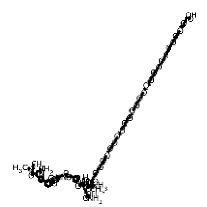 CCCN(CCC)C(=O)C1=Cc2ccc(-c3cccc(S(=O)(=O)N4CC(CNC(=O)OCc5ccc(NC(=O)[C@H](CCCNC(N)=O)NC(=O)[C@@H](NC(=O)CCOCCOCCOCCOCCOCCOCCOCCOCCOCCOCCOCCOCCOCCOCCOCCOCCOCCOCCOCCOCCOCCOCCOCCOCCOCCC(=O)O)C(C)C)cc5)C4)c3)cc2N=C(N)C1